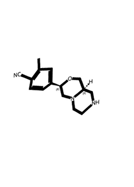 Cc1cc([C@@H]2CN3CCNC[C@@H]3CO2)ccc1C#N